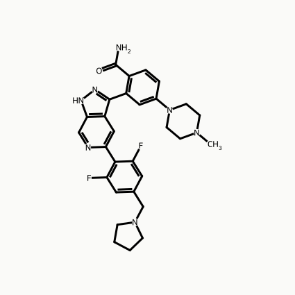 CN1CCN(c2ccc(C(N)=O)c(-c3n[nH]c4cnc(-c5c(F)cc(CN6CCCC6)cc5F)cc34)c2)CC1